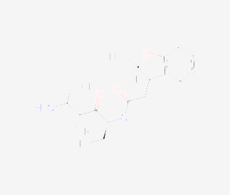 CC(C)C[C@H](NC(=O)CC1c2ccccc2OC1(C)C)C(=O)[C@H](C=O)C(N)C(=O)O